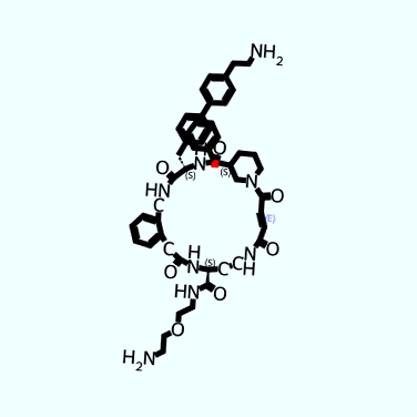 NCCOCCNC(=O)[C@@H]1CCNC(=O)/C=C/C(=O)N2CCC[C@](Cc3ccccc3)(C2)C(=O)N[C@@H](Cc2ccc(-c3ccc(CCN)cc3)cc2)C(=O)NCc2ccccc2CC(=O)N1